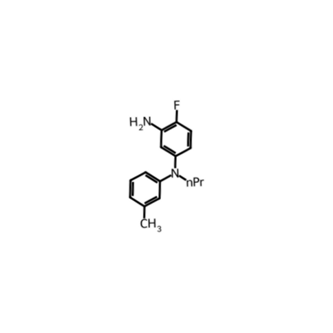 CCCN(c1cccc(C)c1)c1ccc(F)c(N)c1